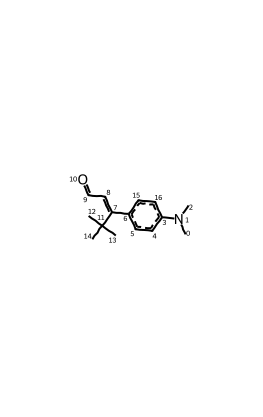 CN(C)c1ccc(C(=CC=O)C(C)(C)C)cc1